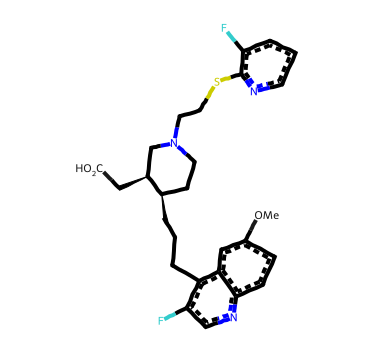 COc1ccc2ncc(F)c(CCC[C@@H]3CCN(CCSc4ncccc4F)C[C@@H]3CC(=O)O)c2c1